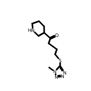 Cn1nnnc1SCCCC(=O)C1CCCNC1